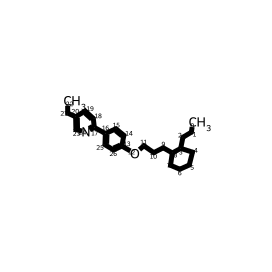 CCCC1CCCCC1CCCOc1ccc(-c2ccc(CC)cn2)cc1